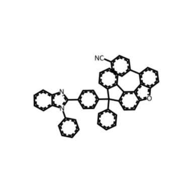 N#Cc1ccc(-c2cccc3oc4ccc5c(c4c23)-c2ccccc2C5(c2ccccc2)c2ccc(-c3nc4ccccc4n3-c3ccccc3)cc2)cc1